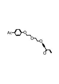 C=CC(=O)C#COCCOCCOc1ccc(C(C)=O)cc1